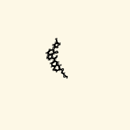 COCCOc1cnc2ccc(C(C)n3nnc4ccn(-c5cc(C)ns5)c(=O)c43)cc2c1